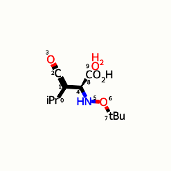 CC(C)C(=C=O)[C@H](NOC(C)(C)C)C(=O)O.O